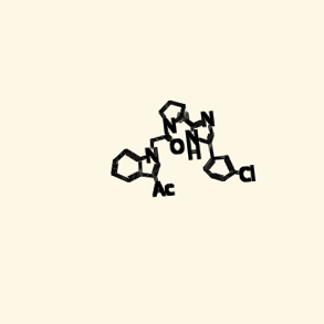 CC(=O)c1cn(CC(=O)N2CCC[C@H]2c2ncc(-c3cccc(Cl)c3)[nH]2)c2ccccc12